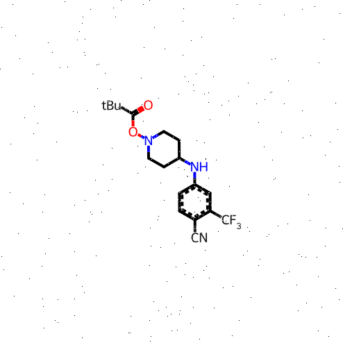 CC(C)(C)C(=O)ON1CCC(Nc2ccc(C#N)c(C(F)(F)F)c2)CC1